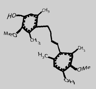 COc1c(O)cc(C)c(CCCc2c(C)cc(O)c(OC)c2C)c1C